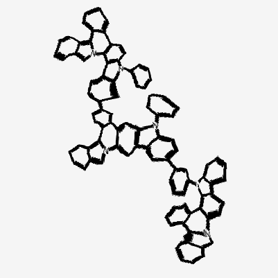 c1ccc(-n2c3ccc(-c4cccc(-n5c6ccccc6c6ccc7c(c8ccccc8c8c9ccccc9cn78)c65)c4)cc3c3cc4c(cc32)c2cc(-c3ccc5c6c(ccc7c8ccccc8c8c9ccccc9cn8c76)n(-c6ccccc6)c5c3)ccc2c2c3ccccc3cn42)cc1